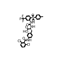 Cc1ccc(S(=O)(=O)c2ccc(C(F)(F)F)cc2NC(=O)N[C@@H](Cc2ccc(NC(=O)c3c(Cl)cccc3Cl)cc2)C(=O)O)cc1